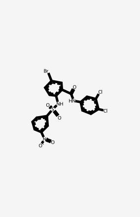 O=C(Nc1ccc(Cl)c(Cl)c1)c1cc(Br)ccc1NS(=O)(=O)c1cccc([N+](=O)[O-])c1